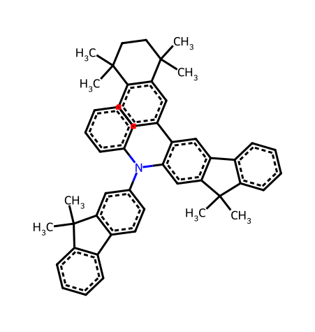 CC1(C)CCC(C)(C)c2cc(-c3cc4c(cc3N(c3ccccc3)c3ccc5c(c3)C(C)(C)c3ccccc3-5)C(C)(C)c3ccccc3-4)ccc21